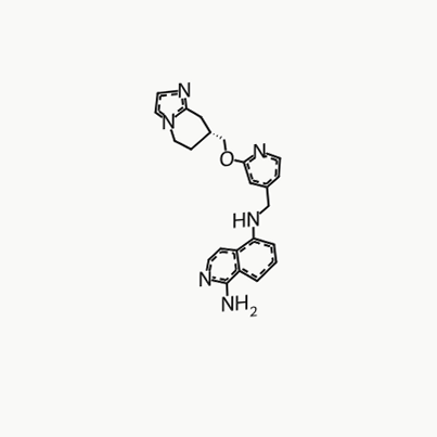 Nc1nccc2c(NCc3ccnc(OC[C@@H]4CCn5ccnc5C4)c3)cccc12